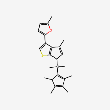 CC1=CC([Si](C)(C)C2=C(C)C(C)=C(C)C2C)c2scc(-c3ccc(C)o3)c21